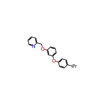 CC(C)c1ccc(Oc2cccc(OCc3ccccn3)c2)cc1